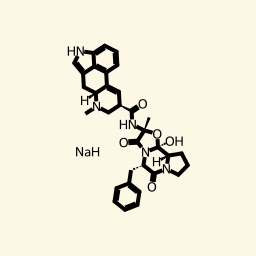 CN1C[C@H](C(=O)N[C@]2(C)O[C@@]3(O)[C@@H]4CCCN4C(=O)[C@H](Cc4ccccc4)N3C2=O)C=C2c3cccc4[nH]cc(c34)C[C@H]21.[NaH]